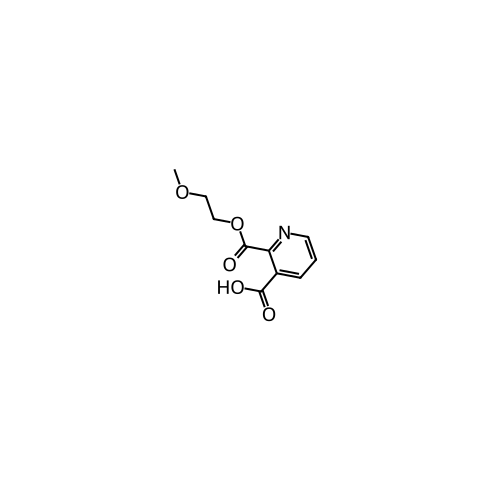 COCCOC(=O)c1ncccc1C(=O)O